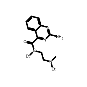 CCN(C)CCN(CC)C(=O)c1nc(N)nc2ccccc12